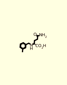 Cc1cccc(CN[C@@H](CCC(N)=O)C(=O)O)c1